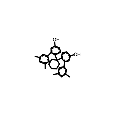 Cc1cc(C)cc(-c2cc(O)ccc2C2(c3ccc(O)cc3-c3cc(C)cc(C)c3)CCCCC2)c1